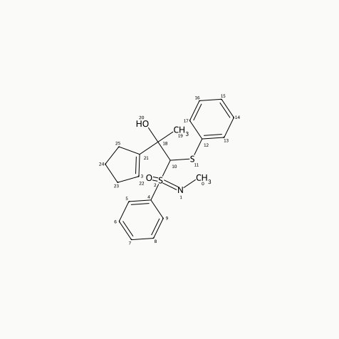 CN=S(=O)(c1ccccc1)C(Sc1ccccc1)C(C)(O)C1=CCCC1